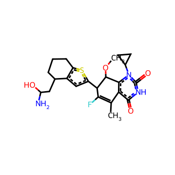 COC1c2c(c(=O)[nH]c(=O)n2C2CC2)C(C)=C(F)C1c1cc2c(s1)CCCC2CC(N)O